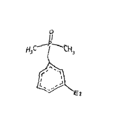 CCc1cccc(P(C)(C)=O)c1